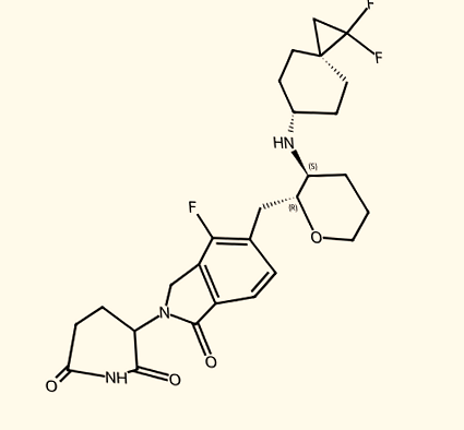 O=C1CCC(N2Cc3c(ccc(C[C@H]4OCCC[C@@H]4N[C@H]4CC[C@]5(CC4)CC5(F)F)c3F)C2=O)C(=O)N1